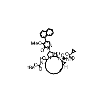 COc1c(-c2cccc3ccccc23)cnn([C@@H]2C[C@H]3C(=O)N[C@]4(C(=O)NS(=O)(=O)C5CC5)C[C@H]4/C=C\CCCCC[C@H](NC(=O)OC(C)(C)C)C(=O)N3C2)c1=O